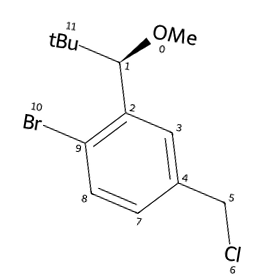 CO[C@@H](c1cc(CCl)ccc1Br)C(C)(C)C